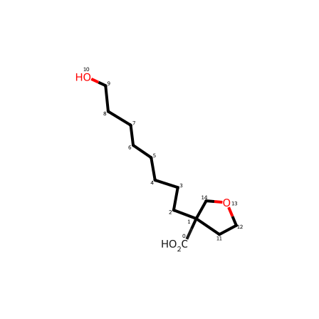 O=C(O)C1(CCCCCCCCO)CCOC1